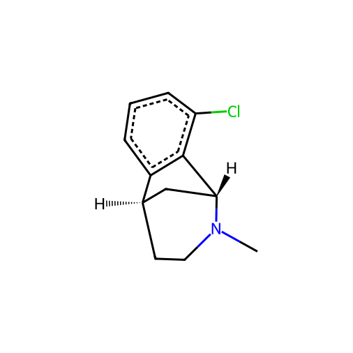 CN1CC[C@@H]2C[C@@H]1c1c(Cl)cccc12